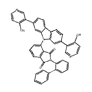 N#Cc1ccncc1-c1ccc2c3ccc(-c4cnccc4C#N)cc3n(-c3cccc4c3C(=O)N(c3ccccc3-c3ccccc3)C4=O)c2c1